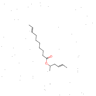 C/C=C/CCCCCCC(=O)OC(C)C/C=C/C